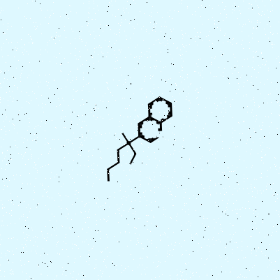 CCCCC(C)(CC)c1cnc2ccccc2c1